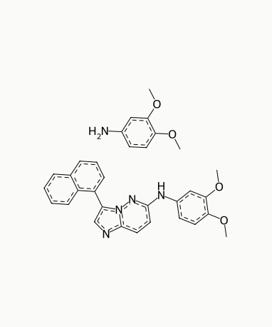 COc1ccc(N)cc1OC.COc1ccc(Nc2ccc3ncc(-c4cccc5ccccc45)n3n2)cc1OC